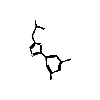 Cc1cc(C)cc(-c2ncc(CC(C)C)s2)c1